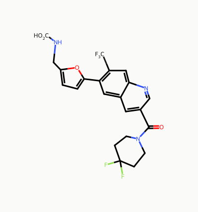 O=C(O)NCc1ccc(-c2cc3cc(C(=O)N4CCC(F)(F)CC4)cnc3cc2C(F)(F)F)o1